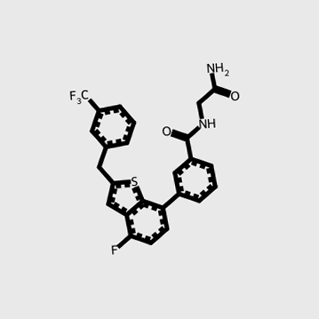 NC(=O)CNC(=O)c1cccc(-c2ccc(F)c3cc(Cc4cccc(C(F)(F)F)c4)sc23)c1